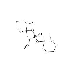 C=CCP(=O)(OC1(C)CCCCC1F)OC1(C)CCCCC1F